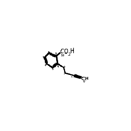 C#CCCc1ccccc1C(=O)O